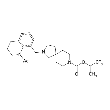 CC(=O)N1CCCc2cccc(CN3CCC4(CCN(C(=O)OC(C)C(F)(F)F)CC4)C3)c21